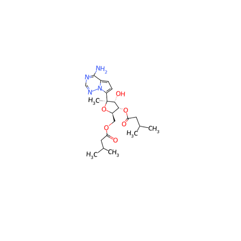 CC(C)CC(=O)OC[C@H]1O[C@@](C)(c2ccc3c(N)ncnn23)[C@H](O)[C@@H]1OC(=O)CC(C)C